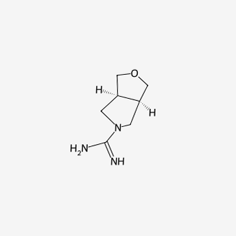 N=C(N)N1C[C@H]2COC[C@H]2C1